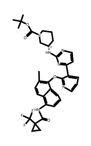 Cc1ccc2c(NC(=O)C3(C(F)(F)F)CC3)cccc2c1Oc1ncccc1-c1ccnc(N[C@H]2CCCN(C(=O)OC(C)(C)C)C2)n1